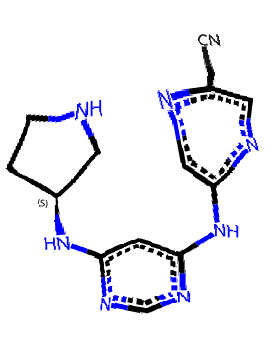 N#Cc1cnc(Nc2cc(N[C@H]3CCNC3)ncn2)cn1